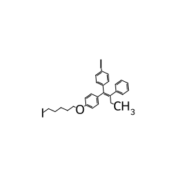 CCC(=C(c1ccc(I)cc1)c1ccc(OCCCCCI)cc1)c1ccccc1